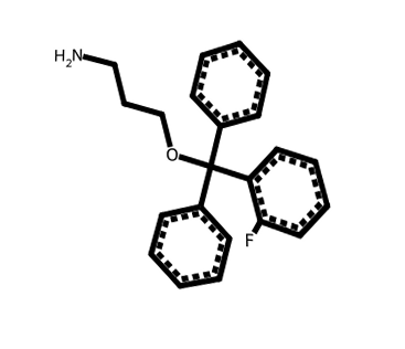 NCCCOC(c1ccccc1)(c1ccccc1)c1ccccc1F